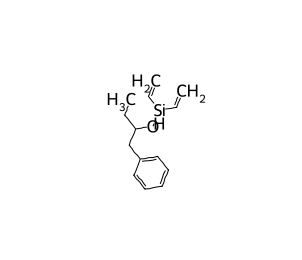 C=C[SiH](C=C)OC(CC)Cc1ccccc1